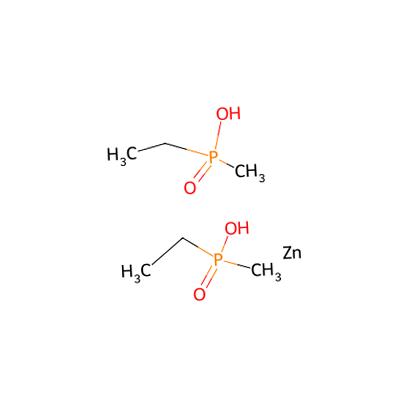 CCP(C)(=O)O.CCP(C)(=O)O.[Zn]